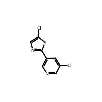 Clc1cncc(-c2ncc(Cl)s2)c1